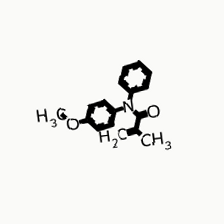 C=C(C)C(=O)N(c1ccccc1)c1ccc(OC)cc1